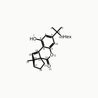 CCCCCCC(C)(C)c1cc(O)c2c(c1)OC(=O)C13CCC4C(=C21)C43C